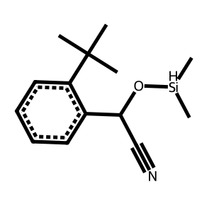 C[SiH](C)OC(C#N)c1ccccc1C(C)(C)C